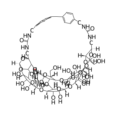 O=C1NCc2ccc(cc2)-c2ccc(cc2)CNC(=O)NC[C@H]2O[C@@H]3O[C@H]4C(O)C(O)[C@H](O[C@@H]4CO)O[C@H]4C(O)C(O)[C@H](O[C@@H]4CO)O[C@H]4C(O)C(O)[C@H](O[C@@H]4CO)O[C@H]4C(O)C(O)[C@H](O[C@@H]4CN1)O[C@H]1C(O)C(O)[C@H](O[C@@H]1CO)O[C@H]1C(O)C(O)[C@H](O[C@@H]1CO)O[C@H]2C(O)C3O